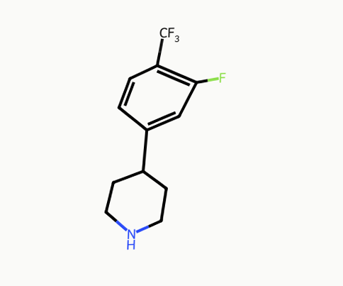 Fc1cc(C2CCNCC2)ccc1C(F)(F)F